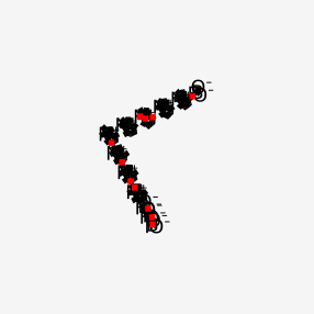 CC1=[N+](C)c2c(C)ccc(C)c2C1(C)C.CC1=[N+](C)c2c(C)ccc(C)c2C1(C)C.CC1=[N+](C)c2c(C)ccc(C)c2C1(C)C.CC1=[N+](C)c2c(C)ccc(C)c2C1(C)C.CC1=[N+](C)c2c(C)ccc(C)c2C1(C)C.CC1=[N+](C)c2c(C)ccc(C)c2C1(C)C.CC1=[N+](C)c2c(C)ccc(C)c2C1(C)C.CC1=[N+](C)c2c(C)ccc(C)c2C1(C)C.[O-]B([O-])F.[O-]B([O-])F.[O-]B([O-])F.[O-]B([O-])F